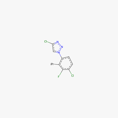 CC(C)c1c(-n2cc(Cl)nn2)ccc(Cl)c1F